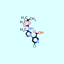 CC1(NC(=O)OC(C)(C)C)CCN(c2cc(Cl)ncc2C(=O)O)C1